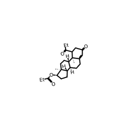 CCC(=O)O[C@@H]1CC[C@H]2[C@@H]3CCC4=CC(=O)CC(C(=O)CC)[C@]4(C)[C@H]3CC[C@]12C